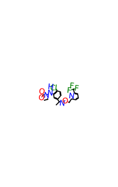 CC(=NOCc1cccc(C(F)(F)F)n1)c1ccc(Cl)c(NN2CCOC2=O)c1